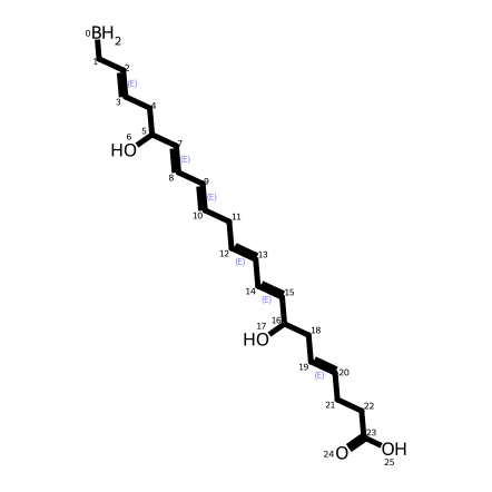 BC/C=C/CC(O)/C=C/C=C/C/C=C/C=C/C(O)C/C=C/CCC(=O)O